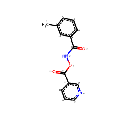 Cc1cccc(C(=O)NOC(=O)c2cccnc2)c1